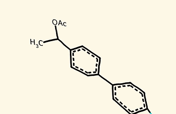 CC(=O)OC(C)c1ccc(-c2ccc(F)cc2)cc1